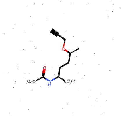 C#CCO[C@@H](C)CC[C@H](NC(=O)OC)C(=O)OCC